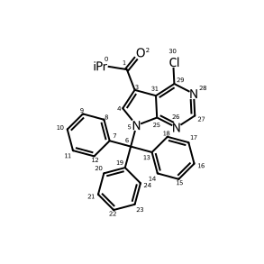 CC(C)C(=O)c1cn(C(c2ccccc2)(c2ccccc2)c2ccccc2)c2ncnc(Cl)c12